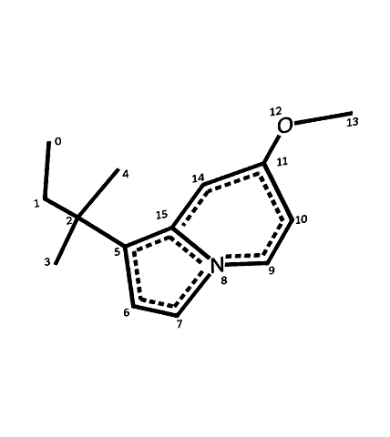 CCC(C)(C)c1ccn2ccc(OC)cc12